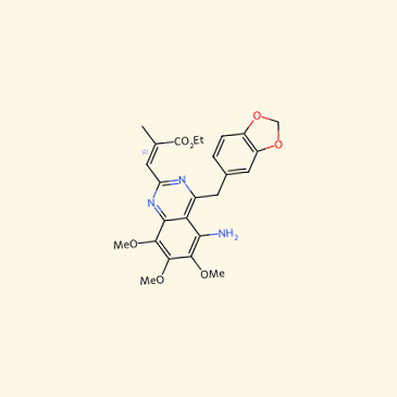 CCOC(=O)/C(C)=C\c1nc(Cc2ccc3c(c2)OCO3)c2c(N)c(OC)c(OC)c(OC)c2n1